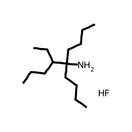 CCCCC(N)(CCCC)C(CC)CCC.F